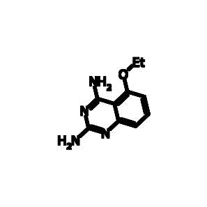 CCOc1cccc2nc(N)nc(N)c12